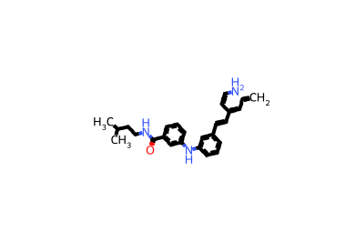 C=C/C=C(\C=C/N)/C=C/c1cccc(Nc2cccc(C(=O)NCCC(C)C)c2)c1